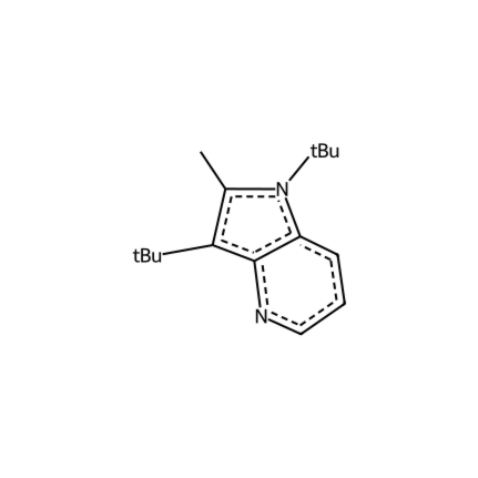 Cc1c(C(C)(C)C)c2ncccc2n1C(C)(C)C